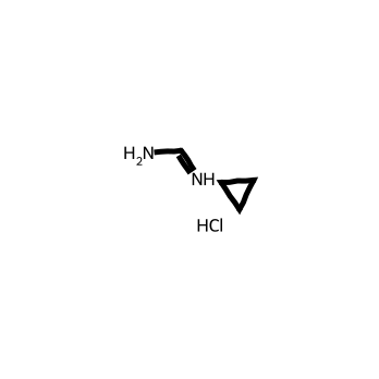 C1CC1.Cl.N=CN